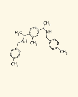 Cc1ccc(CNC(C)c2ccc(C(C)NCc3ccc(C)cc3)c(C)c2)cc1